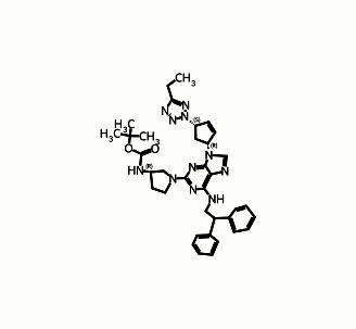 CCc1nnn([C@@H]2C=C[C@H](n3cnc4c(NCC(c5ccccc5)c5ccccc5)nc(N5CC[C@@H](NC(=O)OC(C)(C)C)C5)nc43)C2)n1